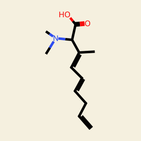 C=CCC=C/C=C(\C)C(C(=O)O)N(C)C